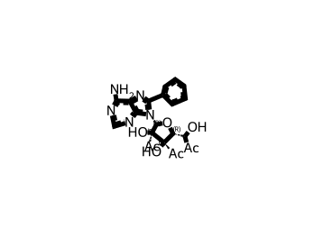 CC(=O)C(O)[C@H]1O[C@@H](n2c(-c3ccccc3)nc3c(N)ncnc32)[C@@](O)(C(C)=O)[C@@]1(O)C(C)=O